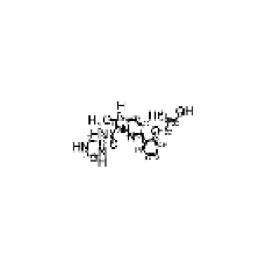 CC1=C(C(=O)NC2CNC=CN2)N2N=C(c3ccccc3OC[C@H](O)CO)C=CC2N1